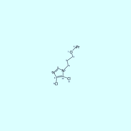 CC(C)OCCCn1cnc(Cl)c1Cl